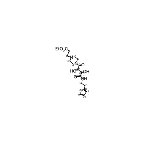 CCOC(=O)CCN1CCN(C(=O)[C@H](O)[C@@H](O)C(=O)NCCc2cccs2)CC1